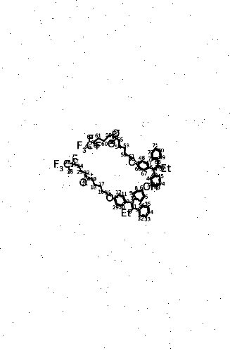 CC/C(=C(/c1ccc(O)cc1)c1ccc(OCCCCC[S+]([O-])CCCC(F)(F)C(F)(F)F)cc1)c1ccccc1.CC/C(=C(\c1ccccc1)c1ccc(OCCCCCS(=O)(=O)CCCC(F)(F)C(F)(F)F)cc1)c1ccccc1